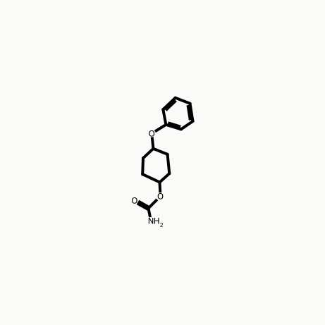 NC(=O)OC1CCC(Oc2ccccc2)CC1